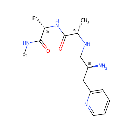 CCNC(=O)[C@@H](NC(=O)[C@H](C)NC[C@@H](N)Cc1ccccn1)C(C)C